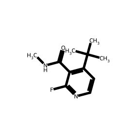 CNC(=O)c1c(C(C)(C)C)ccnc1F